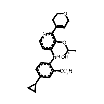 C[C@@H](O)Oc1c(Nc2ccc(C3CC3)cc2C(=O)O)ccnc1C1=CCOCC1